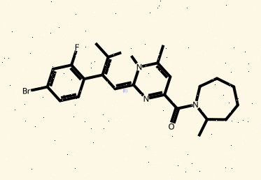 CC1=CC(C(=O)N2CCCCCC2C)=N/C(=C/C(=C(C)C)c2ccc(Br)cc2F)N1C